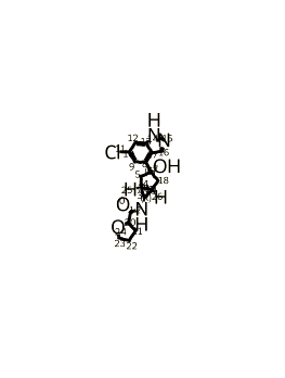 O=C(N[C@H]1[C@@H]2C[C@](O)(c3cc(Cl)cc4[nH]ncc34)C[C@@H]21)C1CCCO1